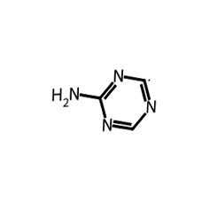 Nc1n[c]ncn1